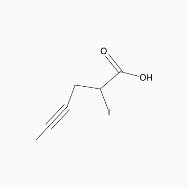 CC#CCC(I)C(=O)O